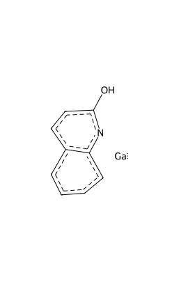 Oc1ccc2ccccc2n1.[Ga]